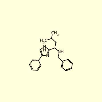 CC(C)C[C@@H](NCc1ccccc1)c1nc(-c2ccccc2)c[nH]1